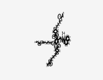 C=CC(=O)OCCCCCCOc1ccc(C(=O)Oc2cc(OCCCCCCOC(=O)C=C)c(OC(=O)c3ccc(OCCCCCCOC(=O)C=C)cc3)cc2/C=N/Nc2cccc3ccccc23)cc1